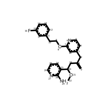 C=C(Cc1ccnc(OCCc2cccc(F)c2)c1)CC(OC)c1cccnc1N